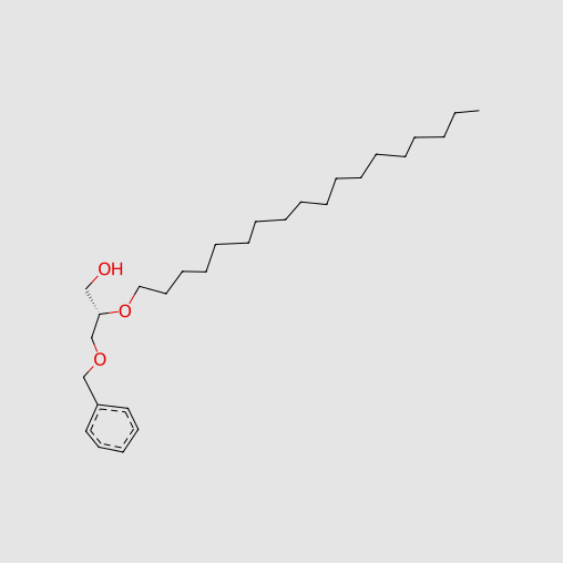 CCCCCCCCCCCCCCCCCCO[C@@H](CO)COCc1ccccc1